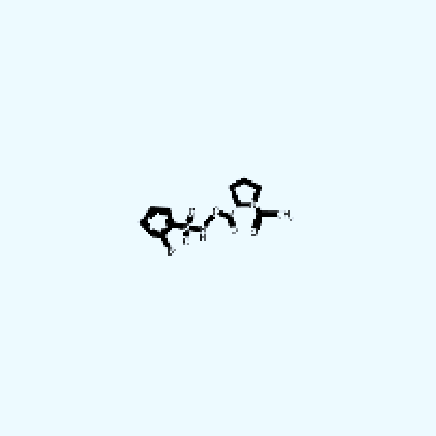 CC(=O)N1CCC[C@H]1C(=O)ONS(=O)(=O)c1ccccc1Br